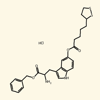 Cl.NC(Cc1c[nH]c2ccc(OC(=O)CCCCC3CCSS3)cc12)C(=O)OCc1ccccc1